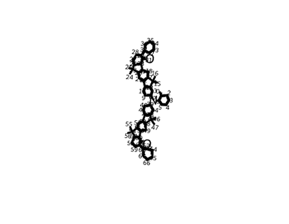 Cc1ccccc1N(c1ccc2c(c1)C(C)(C)c1cc3c(cc1-2)C(C)(C)c1ccc2c(oc4ccccc42)c1-3)c1ccc2c(c1)C(C)(C)c1cc3c(cc1-2)C(C)(C)c1ccc2c(oc4ccccc42)c1-3